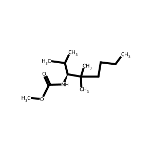 CCCCC(C)(C)[C@@H](NC(=O)OC)C(C)C